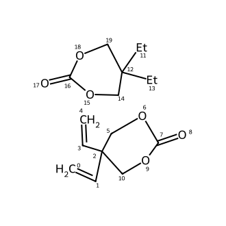 C=CC1(C=C)COC(=O)OC1.CCC1(CC)COC(=O)OC1